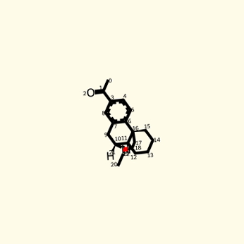 CC(=O)c1ccc2c(c1)C[C@@H]1[C@@H]3CCCC[C@]23CCN1C